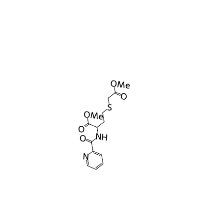 COC(=O)CSCCC(NC(=O)c1ccccn1)C(=O)OC